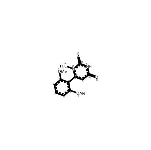 COc1cccc(OC)c1-c1cc(=O)[nH]c(=S)n1C